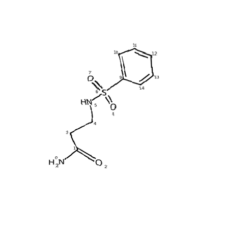 NC(=O)[CH]CNS(=O)(=O)c1ccccc1